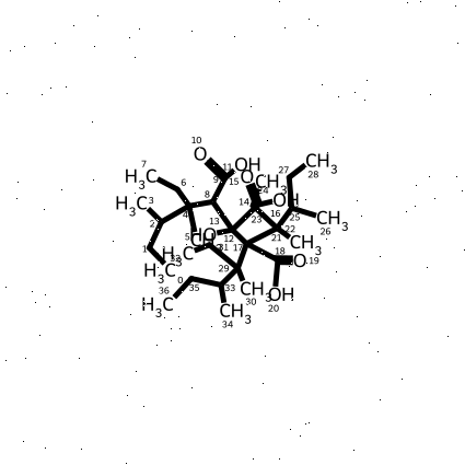 CCC(C)C(C)(CC)C(C(=O)O)C(O)(C(=O)O)C(C(=O)O)(C(C)(CC)C(C)CC)C(C)(CC)C(C)CC